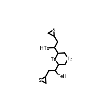 [TeH]C(CC1CS1)C1C[Te]CC(C([TeH])CC2CS2)[Te]1